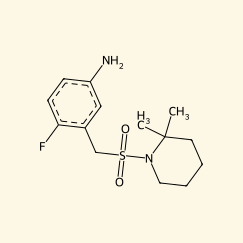 CC1(C)CCCCN1S(=O)(=O)Cc1cc(N)ccc1F